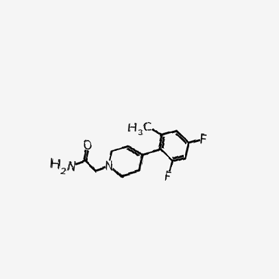 Cc1cc(F)cc(F)c1C1=CCN(CC(N)=O)CC1